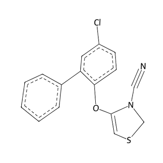 N#CN1CSC=C1Oc1ccc(Cl)cc1-c1ccccc1